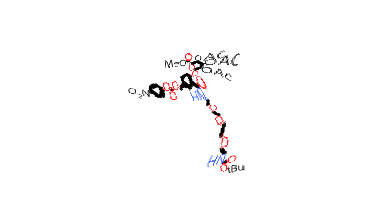 COC(=O)[C@H]1O[C@@H](Oc2ccc(COC(=O)Oc3ccc([N+](=O)[O-])cc3)cc2C(=O)NCCOCCOCCOCCNC(=O)OC(C)(C)C)[C@H](OC(C)=O)[C@@H](OC(C)=O)[C@@H]1OC(C)=O